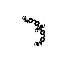 O=C=Nc1ccc(Cc2ccc(N3C(=O)N(c4ccc(Cc5ccc(N=C=O)cc5)cc4)C3=O)cc2)cc1